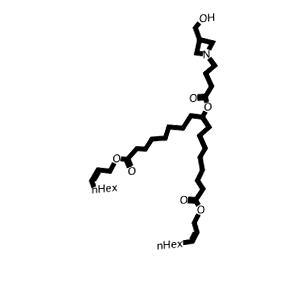 CCCCCC/C=C\COC(=O)CCCCCCCC(CCCCCCCC(=O)OC/C=C\CCCCCC)OC(=O)CCCN1CC(CO)C1